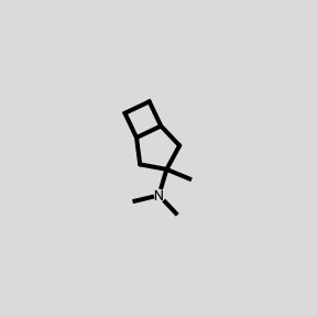 CN(C)C1(C)CC2CCC2C1